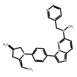 C=C1C/C(=C/C)N(c2ccc(-c3cnc4ccc(N(C)Cc5cccnc5)nn34)cc2)C1